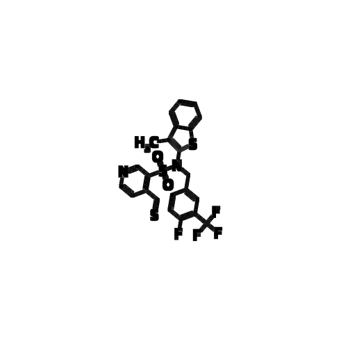 Cc1c(N(Cc2ccc(F)c(C(F)(F)F)c2)S(=O)(=O)c2cnccc2C=S)sc2ccccc12